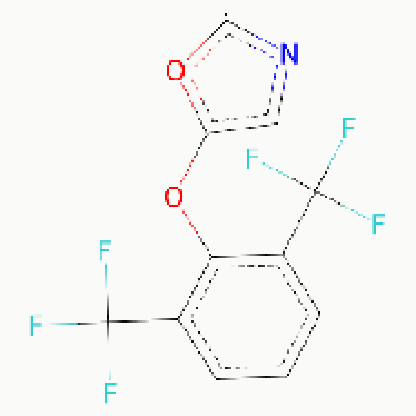 FC(F)(F)c1cccc(C(F)(F)F)c1Oc1cn[c]o1